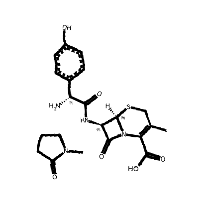 CC1=C(C(=O)O)N2C(=O)[C@@H](NC(=O)[C@H](N)c3ccc(O)cc3)[C@H]2SC1.CN1CCCC1=O